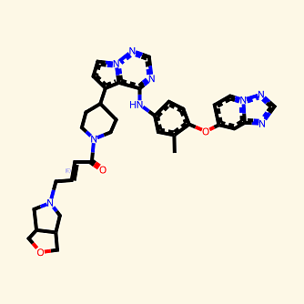 Cc1cc(Nc2ncnn3ccc(C4CCN(C(=O)/C=C/CN5CC6COCC6C5)CC4)c23)ccc1Oc1ccn2ncnc2c1